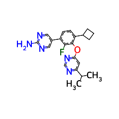 CC(C)c1cc(Oc2c(C3CCC3)ccc(-c3cnc(N)nc3)c2F)ncn1